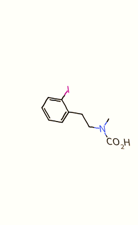 CN(CCc1ccccc1I)C(=O)O